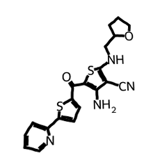 N#Cc1c(NCC2CCCO2)sc(C(=O)c2ccc(-c3ccccn3)s2)c1N